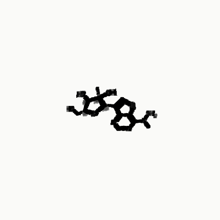 CN(N)c1ncnc2c([C@@H]3O[C@H](CO)[C@@H](O)[C@@]3(C)O)coc12